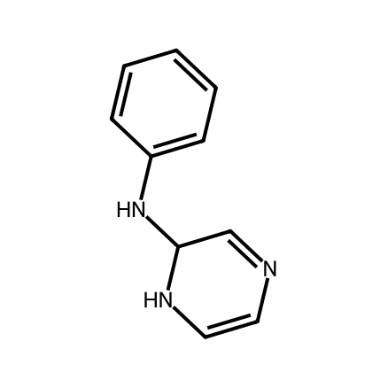 C1=CNC(Nc2ccccc2)C=N1